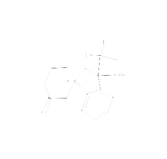 O=C1CCC[C@]2(C1)CC(O)(C(F)(F)F)c1ccccc12